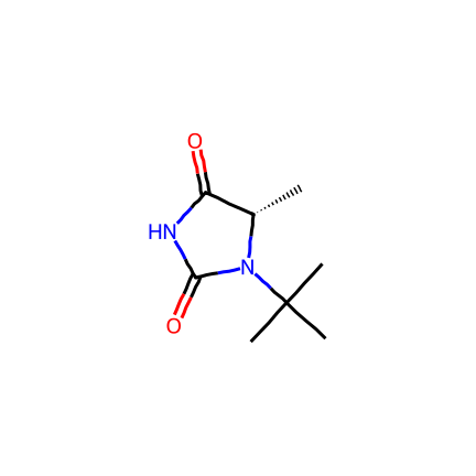 C[C@H]1C(=O)NC(=O)N1C(C)(C)C